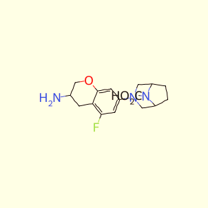 NC1COc2cc(N3CC4CCC(C3)N4C(=O)O)cc(F)c2C1